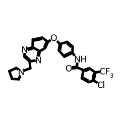 O=C(Nc1ccc(Oc2ccc3ncc(CN4CCCC4)nc3c2)cc1)c1ccc(Cl)c(C(F)(F)F)c1